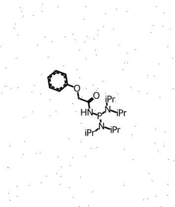 CC(C)N(C(C)C)P(NC(=O)COc1ccccc1)N(C(C)C)C(C)C